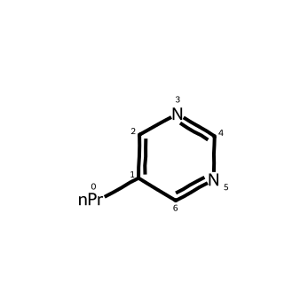 CCCc1cncnc1